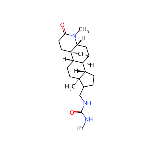 CC(C)NC(=O)NCC1CC[C@H]2[C@@H]3CC[C@H]4N(C)C(=O)CC[C@]4(C)[C@H]3CC[C@]12C